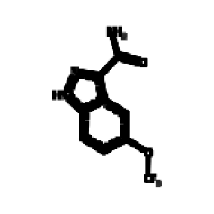 NC(=O)c1n[nH]c2ccc(OC(F)(F)F)cc12